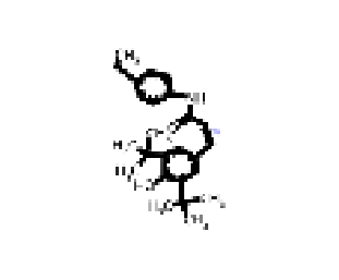 CCc1ccc(NC(=O)/C=C\c2cc(C(C)(C)C)c(O)c(C(C)(C)C)c2)cc1